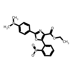 CCOC(=O)c1nc(-c2ccc(N(C)C)cc2)oc1-c1ccccc1[N+](=O)[O-]